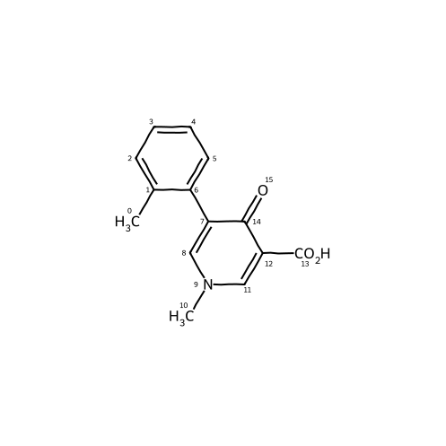 Cc1ccccc1-c1cn(C)cc(C(=O)O)c1=O